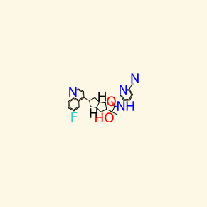 CC(O)(C(=O)Nc1ccc(C#N)nc1)[C@H]1C[C@H]2CC(c3ccnc4ccc(F)cc34)C[C@H]2C1